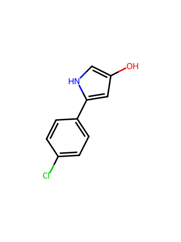 Oc1c[nH]c(-c2ccc(Cl)cc2)c1